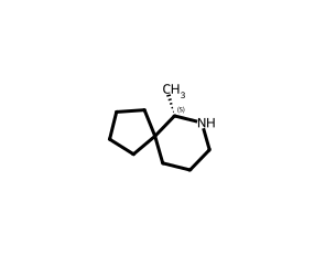 C[C@@H]1NCCCC12CCCC2